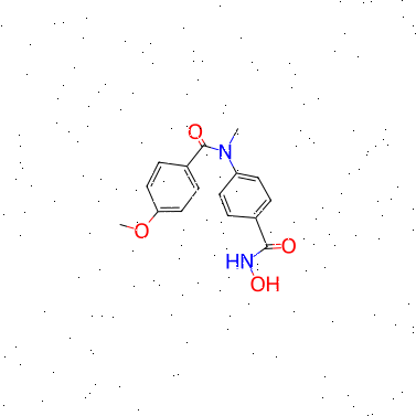 COc1ccc(C(=O)N(C)c2ccc(C(=O)NO)cc2)cc1